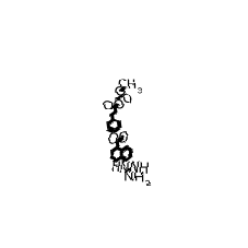 CCOC(=O)COC(=O)CCc1ccc(OC(=O)C2CCCc3c(NC(=N)N)cccc32)cc1